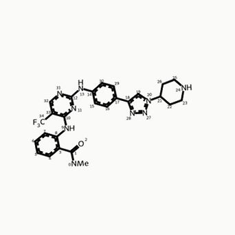 CNC(=O)c1ccccc1Nc1nc(Nc2ccc(-c3cn(C4CCNCC4)nn3)cc2)ncc1C(F)(F)F